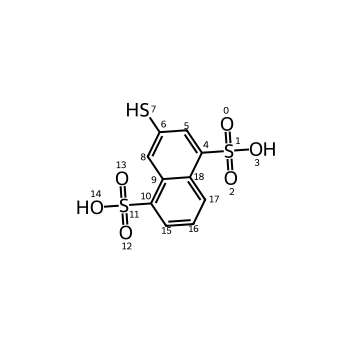 O=S(=O)(O)c1cc(S)cc2c(S(=O)(=O)O)cccc12